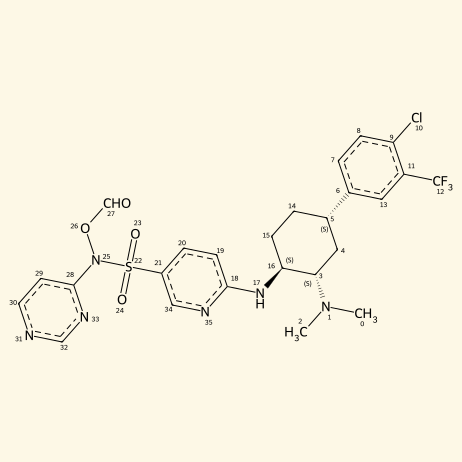 CN(C)[C@H]1C[C@@H](c2ccc(Cl)c(C(F)(F)F)c2)CC[C@@H]1Nc1ccc(S(=O)(=O)N(OC=O)c2ccncn2)cn1